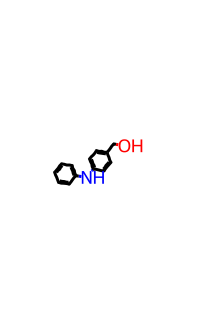 OCc1ccc(Nc2ccccc2)cc1